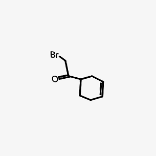 O=C(CBr)C1CC=CCC1